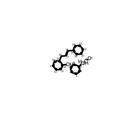 C=O.Oc1ccccc1.Oc1ccccc1CC=Cc1ccccc1